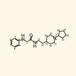 O=C(CNc1ccccc1)NCCC1CCN(C2CCCC2)CC1